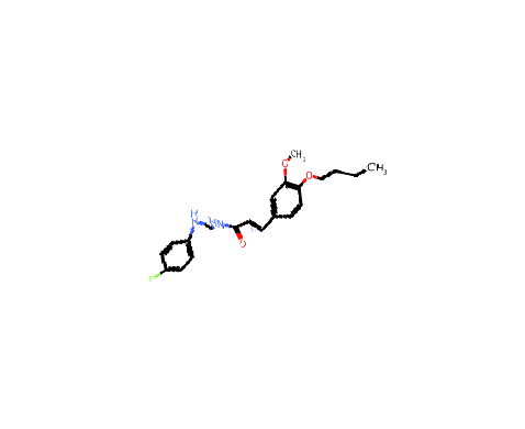 CCCCOc1ccc(/C=C/C(=O)NCNc2ccc(F)cc2)cc1OC